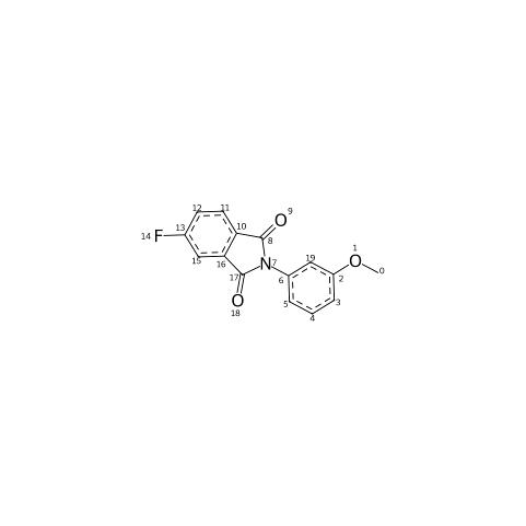 COc1cccc(N2C(=O)c3ccc(F)cc3C2=O)c1